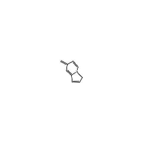 C=C1C=CN2CC=CC2=C1